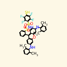 Cc1cccc(C)c1/N=c1/ccc2c(-c3ccccc3S(=O)(=O)NS(=O)(=O)c3c(F)c(F)c(S)c(F)c3F)c3ccc(Nc4c(C)cccc4C)cc3oc-2c1